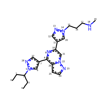 CCC(CC)n1cc(-c2nc(-c3cnn(CCCNC)c3)cn3nccc23)cn1